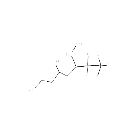 CCCC(S)CC(NC)C(F)(F)C(F)(F)F